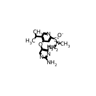 CC(C)c1cnc([S+]([O-])N(C)C)cc1Oc1cnc(N)nc1N